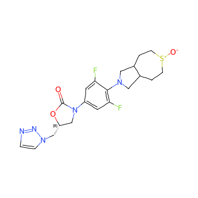 O=C1O[C@@H](Cn2ccnn2)CN1c1cc(F)c(N2CC3CC[S+]([O-])CCC3C2)c(F)c1